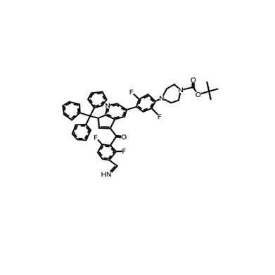 CC(C)(C)OC(=O)N1CCN(c2cc(F)c(-c3cnc4c(c3)C(C(=O)c3c(F)ccc(C=N)c3F)=CC4C(c3ccccc3)(c3ccccc3)c3ccccc3)cc2F)CC1